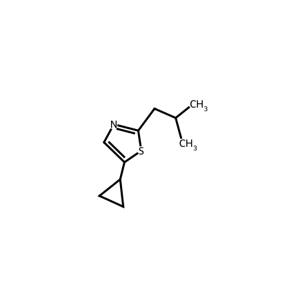 CC(C)Cc1ncc(C2CC2)s1